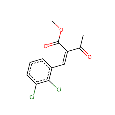 COC(=O)/C(=C\c1cccc(Cl)c1Cl)C(C)=O